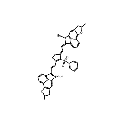 CCCCn1/c(=C/C=C2\CCC(/C=C/C3=[N+](CCCC)c4cc5c(c6cccc3c46)OC(C)C5)=C2S(=O)(=O)c2ccccc2)c2cccc3c4c(cc1c32)CC(C)O4